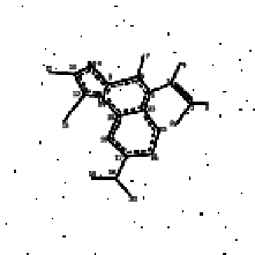 CC(C)=C(C)c1c(C)c2nc(C)c(C)n2c2cc(C(C)C)ccc12